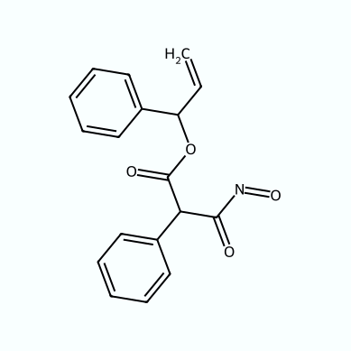 C=CC(OC(=O)C(C(=O)N=O)c1ccccc1)c1ccccc1